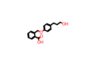 O=C(O)c1ccccc1COc1ccc(CCCO)cc1